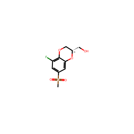 CS(=O)(=O)c1cc(F)c2c(c1)O[C@@H](CO)CO2